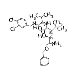 CC(C)[C@H](C[C@H](O)C(N)COCc1ccccc1)C(=O)N[C@H](C(=O)NCc1ccc(Cl)c(Cl)c1)C(C)C